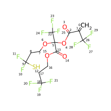 C=C(C(=O)OC(OCCC(F)(F)S)(C(=O)OCCC(F)(F)F)C(F)(F)F)C(F)(F)F